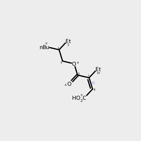 CCCCC(CC)COC(=O)/C(=C\C(=O)O)CC